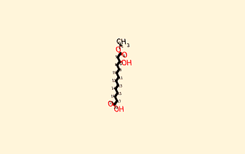 CCOC(=O)CC(O)CCCCCCCCCCC(=O)O